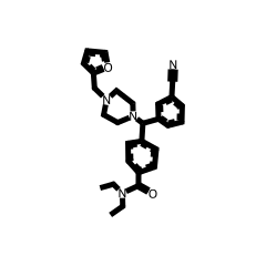 CCN(CC)C(=O)c1ccc(C(c2cccc(C#N)c2)N2CCN(Cc3ccco3)CC2)cc1